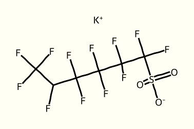 O=S(=O)([O-])C(F)(F)C(F)(F)C(F)(F)C(F)(F)C(F)C(F)(F)F.[K+]